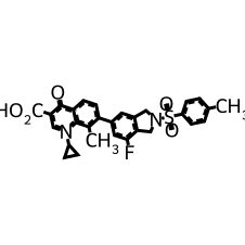 Cc1ccc(S(=O)(=O)N2Cc3cc(-c4ccc5c(=O)c(C(=O)O)cn(C6CC6)c5c4C)cc(F)c3C2)cc1